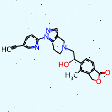 C#Cc1ccc(-n2ncc3c2CCN(C[C@H](O)c2ccc4c(c2C)COC4=O)C3)nc1